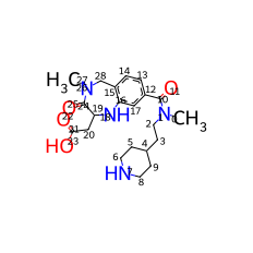 CN(CCC1CCNCC1)C(=O)c1ccc2c(c1)NC(CC(=O)O)C(=O)N(C)C2